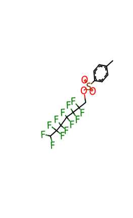 Cc1ccc(S(=O)(=O)OCC(F)(F)C(F)(F)C(F)(F)C(F)(F)C(F)(F)C(F)F)cc1